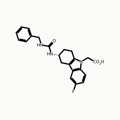 O=C(O)Cn1c2c(c3cc(F)ccc31)C[C@H](NC(=O)NCc1ccccc1)CC2